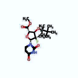 COC(=O)[C@H]1O[C@@H](n2ccc(=O)[nH]c2=O)[C@](C)(F)[C@@H]1O[Si](C)(C)C(C)(C)C